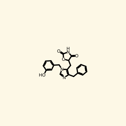 O=C1NC(=O)C(Cc2c(Cc3ccccc3)ncn2Cc2cccc(O)c2)O1